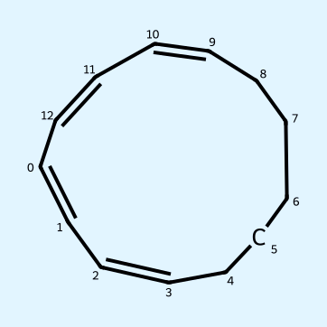 C1=CC=CCCCCCC=CC=C1